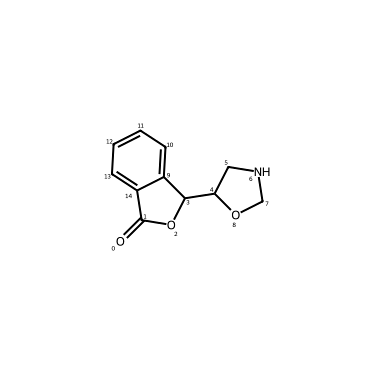 O=C1OC(C2CNCO2)c2ccccc21